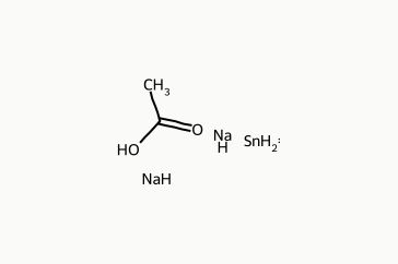 CC(=O)O.[NaH].[NaH].[SnH2]